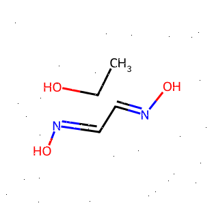 CCO.ON=CC=NO